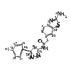 Nc1nc2ccc(CC(=O)Nc3nnc(-c4ccc(I)cc4)s3)cc2s1